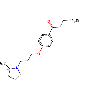 CCOC(=O)CCC(=O)c1ccc(OCCCN2CCC[C@H]2C)cc1